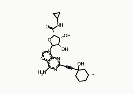 C[C@@H]1CCCC(O)(C#Cc2nc(N)c3ncn(C4O[C@H](C(=O)NC5CC5)[C@H](O)[C@@H]4O)c3n2)C1